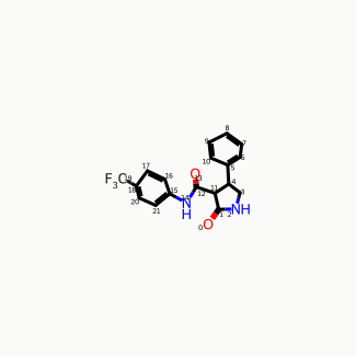 O=C1NCC(c2ccccc2)C1C(=O)Nc1ccc(C(F)(F)F)cc1